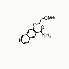 COCCOc1cc2cnccc2cc1C(N)=O